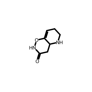 O=C1CC2NCCC=C2ON1